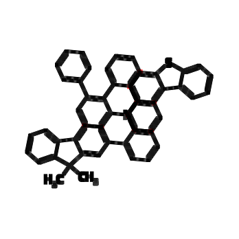 CC1(C)c2ccccc2-c2ccc(-c3ccccc3N(c3ccc4sc5ccccc5c4c3)c3cccc(-c4ccccc4)c3-c3ccccc3-c3ccccc3)cc21